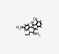 CCC[C@H](N)c1nc2cccc(Cl)c2c(=O)n1-c1ccc(N)nc1